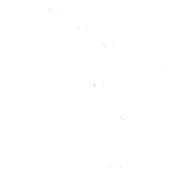 CC(=O)NC1C(OC2C(O)C(C)OC(OC3C(O)C(CO)OC(OC4C(CO)OC(OCCNC(=O)CCCCN)C5O[C@@](C)(C(=O)O)OC45)C3NC(C)=O)C2NC(C)=O)OC(CO)C(O)C1O